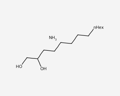 CCCCCCCCCCCCC(O)CO.N